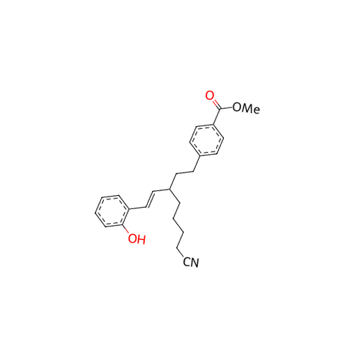 COC(=O)c1ccc(CCC(C=Cc2ccccc2O)CCCCC#N)cc1